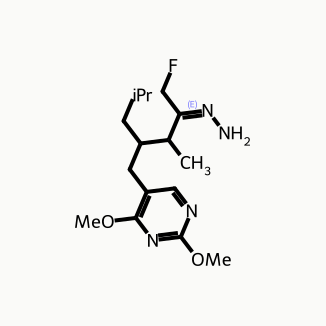 COc1ncc(CC(CC(C)C)C(C)/C(CF)=N\N)c(OC)n1